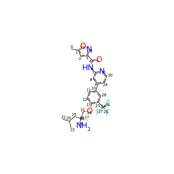 Cc1cc(C(=O)Nc2cc(-c3ccc(OC[C@@](C)(N)CC(C)C)c(C(F)(F)F)c3)ccn2)no1